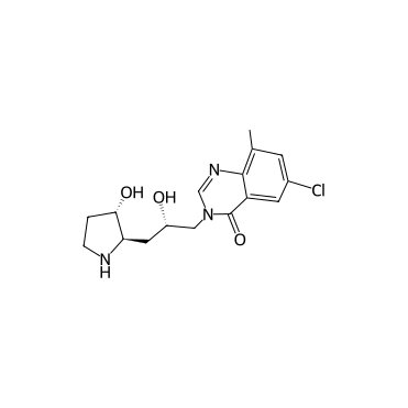 Cc1cc(Cl)cc2c(=O)n(C[C@@H](O)C[C@H]3NCC[C@@H]3O)cnc12